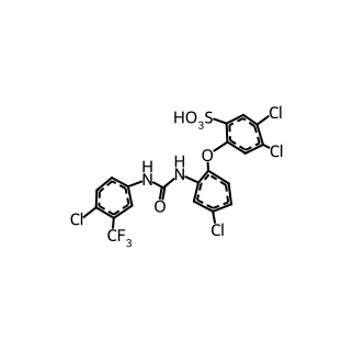 O=C(Nc1ccc(Cl)c(C(F)(F)F)c1)Nc1cc(Cl)ccc1Oc1cc(Cl)c(Cl)cc1S(=O)(=O)O